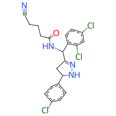 N#CCCCC(=O)NC(C1=NNC(c2ccc(Cl)cc2)C1)c1ccc(Cl)cc1Cl